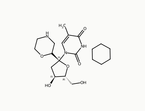 C1CCCCC1.Cc1cn([C@@]2(C3CNCCO3)C[C@H](O)[C@@H](CO)O2)c(=O)[nH]c1=O